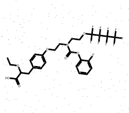 CCOC(Cc1ccc(OCCN(CCOC(F)(F)C(F)(F)C(F)(F)C(F)(F)F)C(=O)Oc2ccccc2F)cc1)C(=O)O